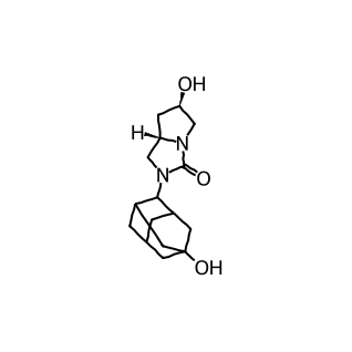 O=C1N(C2C3CC4CC2CC(O)(C4)C3)C[C@@H]2C[C@@H](O)CN12